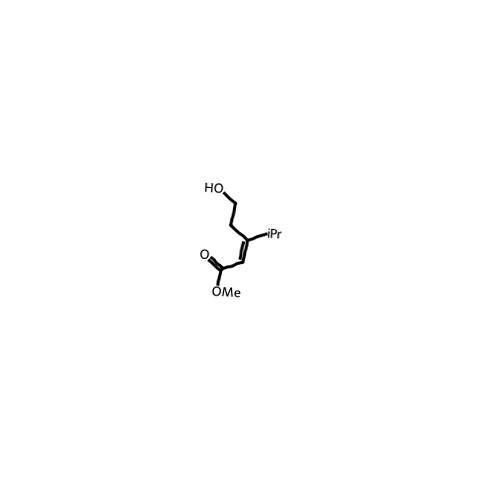 COC(=O)C=C(CCO)C(C)C